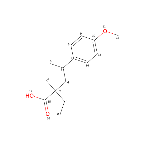 CCC(C)(CC(C)c1ccc(OC)cc1)C(=O)O